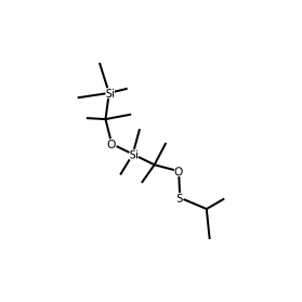 CC(C)SOC(C)(C)[Si](C)(C)OC(C)(C)[Si](C)(C)C